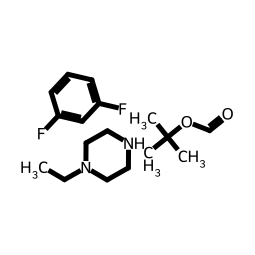 CC(C)(C)OC=O.CCN1CCNCC1.Fc1cccc(F)c1